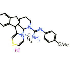 COc1ccc(N=C(N)N2CCCCC2[N+]2(C)C=CSC=C2C2CCC3=CCCC=C32)cc1.I